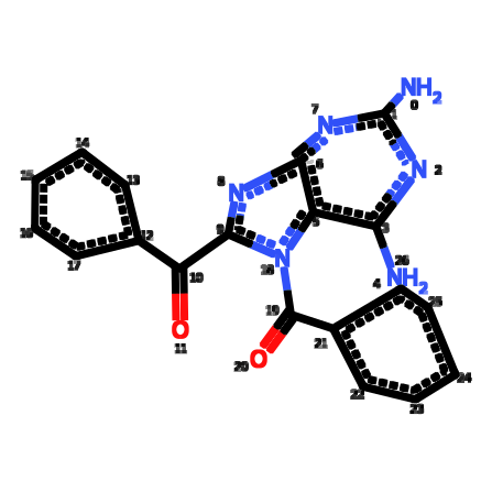 Nc1nc(N)c2c(n1)nc(C(=O)c1ccccc1)n2C(=O)c1ccccc1